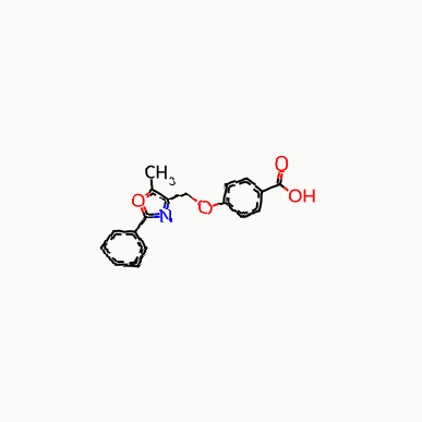 Cc1oc(-c2ccccc2)nc1COc1ccc(C(=O)O)cc1